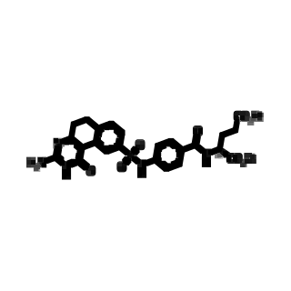 CCOC(=O)CC[C@H](NC(=O)c1ccc(NS(=O)(=O)c2ccc3c(c2)-c2c(nc(N)[nH]c2=O)CC3)cc1)C(=O)OCC